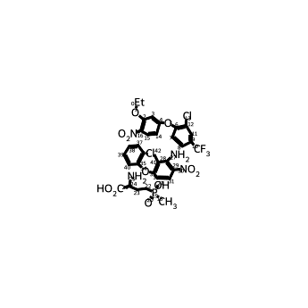 CCOc1cc(Oc2ccc(C(F)(F)F)cc2Cl)ccc1[N+](=O)[O-].CP(=O)(O)CCC(N)C(=O)O.Nc1c([N+](=O)[O-])ccc(Oc2ccccc2)c1Cl